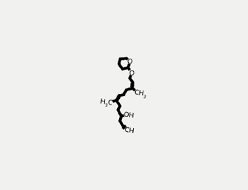 C#CCC(O)CCC(C)=CCCC(C)=CCOC1CCCCO1